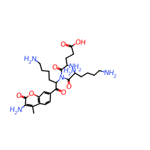 Cc1c(N)c(=O)oc2cc(C(=O)C(CCCCN)N(C(=O)C(N)CCCCN)C(=O)C(N)CCC(=O)O)ccc12